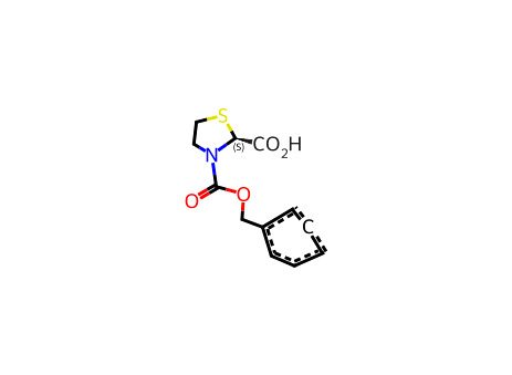 O=C(O)[C@@H]1SCCN1C(=O)OCc1ccccc1